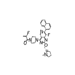 C=C(F)C(=O)N1CCN(c2nc(OC[C@@H]3CCCN3C)nc3c(F)c(-c4cccc5ccccc45)ncc23)CC1